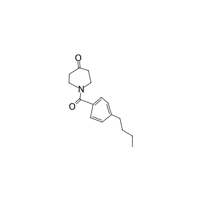 CCCCc1ccc(C(=O)N2CCC(=O)CC2)cc1